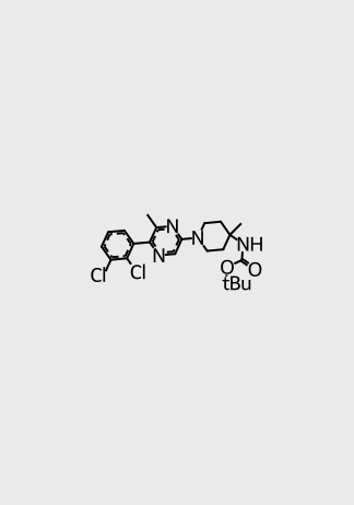 Cc1nc(N2CCC(C)(NC(=O)OC(C)(C)C)CC2)cnc1-c1cccc(Cl)c1Cl